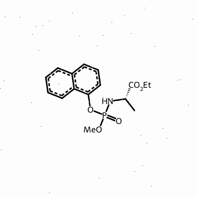 CCOC(=O)[C@H](C)NP(=O)(OC)Oc1cccc2ccccc12